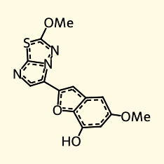 COc1cc(O)c2oc(-c3cnc4sc(OC)nn34)cc2c1